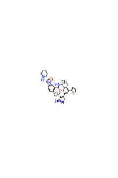 Cc1ccc(NC(=O)[C@H]2CCCCN2)cc1C(=O)NC(C)c1cc(-c2cn[nH]c2)cc(-c2cccs2)c1